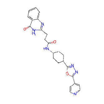 O=C(CCc1nc2ccccc2c(=O)[nH]1)NC1CCC(c2nnc(-c3ccncc3)o2)CC1